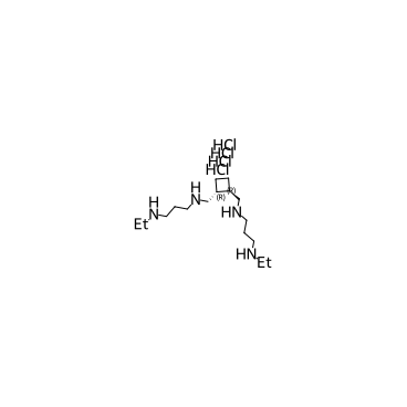 CCNCCCNC[C@@H]1CC[C@H]1CNCCCNCC.Cl.Cl.Cl.Cl